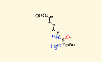 CCCC[C@@H](N)C(=O)NCCCCC[C]=O